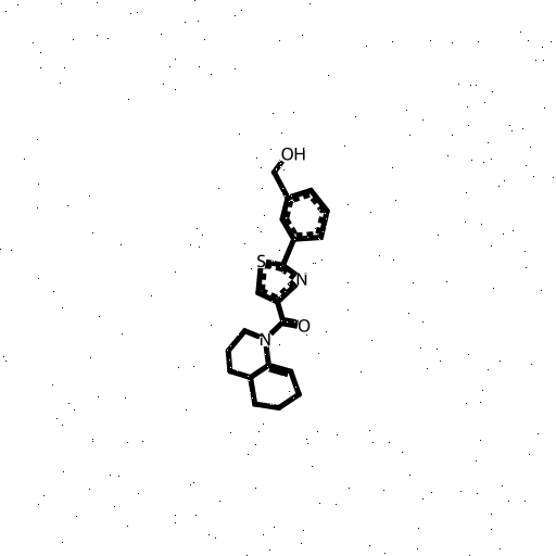 O=C(c1csc(-c2cccc(CO)c2)n1)N1CCCC2CCCC=C21